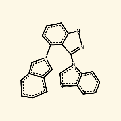 c1cc2c(c(-p3cc4ccccc4c3)c1)C(n1cnc3ccccc31)=N[N]2